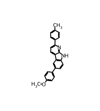 COc1ccc(-c2ccc3[nH]c4nc(-c5ccc(C)cc5)ccc4c3c2)cc1